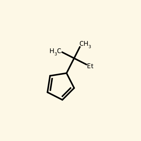 CCC(C)(C)C1C=CC=C1